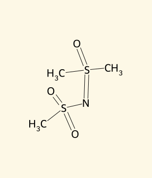 CS(=O)(=O)N=S(C)(C)=O